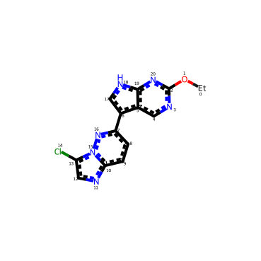 CCOc1ncc2c(-c3ccc4ncc(Cl)n4n3)c[nH]c2n1